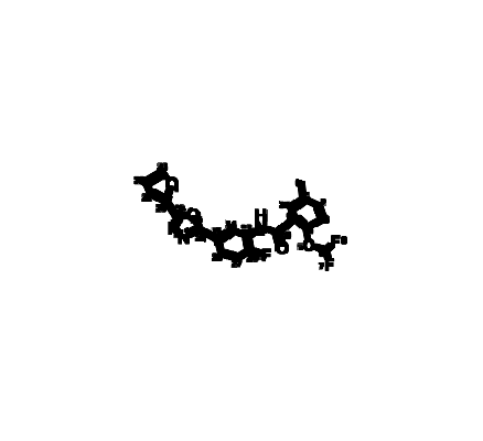 Cc1ccc(OC(F)F)c(C(=O)Nc2cc(-c3nnc(-c4ccco4)o3)ccc2F)c1